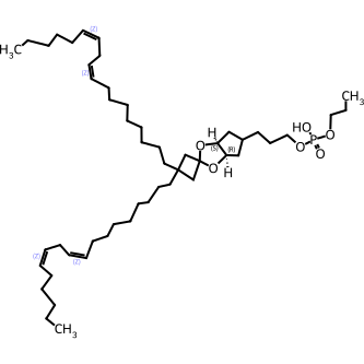 CCCCC/C=C\C/C=C\CCCCCCCCC1(CCCCCCCC/C=C\C/C=C\CCCCC)CC2(C1)O[C@H]1CC(CCCOP(=O)(O)OCCC)C[C@H]1O2